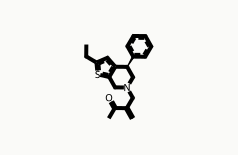 C=C(CN1Cc2sc(CC)cc2[C@@H](c2ccccc2)C1)C(C)=O